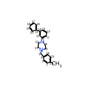 Cc1ccc(CN2CCN(c3cccc(-c4ccccc4)c3)CC2)cc1